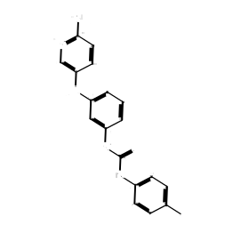 Cc1ccc(NC(=O)Nc2cccc(Oc3ccc(N)nc3)c2)cc1